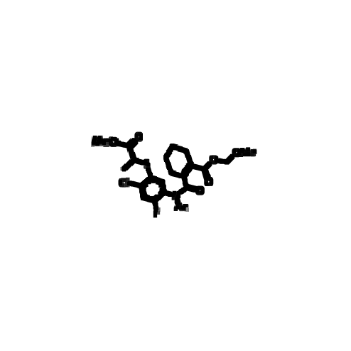 COCOC(=O)C1=C(C(=O)N(C(C)=O)c2cc(SC(C)C(=O)OC)c(Cl)cc2F)CCCC1